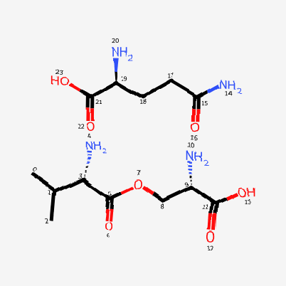 CC(C)[C@H](N)C(=O)OC[C@H](N)C(=O)O.NC(=O)CC[C@H](N)C(=O)O